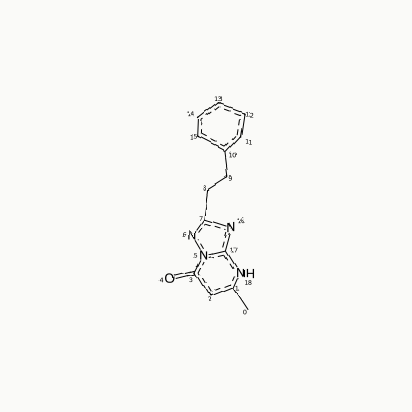 Cc1cc(=O)n2nc(CCc3ccccc3)nc2[nH]1